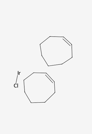 C1=CCCCCCC1.C1=CCCCCCC1.[Cl][Ir]